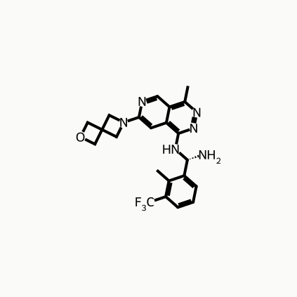 Cc1c([C@@H](N)Nc2nnc(C)c3cnc(N4CC5(COC5)C4)cc23)cccc1C(F)(F)F